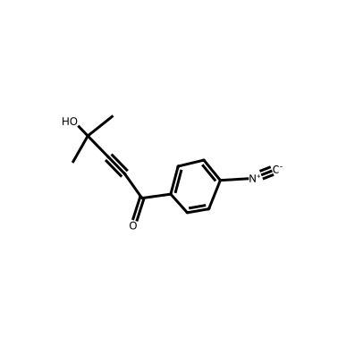 [C-]#[N+]c1ccc(C(=O)C#CC(C)(C)O)cc1